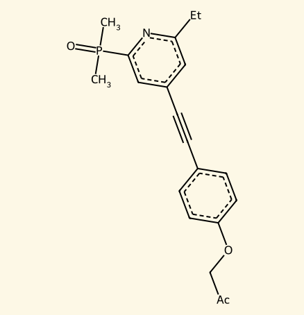 CCc1cc(C#Cc2ccc(OCC(C)=O)cc2)cc(P(C)(C)=O)n1